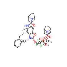 CC(C)(C)OC(=O)N1C2C=C(OS(=O)(=O)C(F)(F)F)CC1CC2.Cn1c(=O)oc2cc(C3CC4CCC(C3)N4C(=O)NCCCCc3ccccc3)ccc21